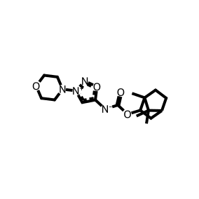 CC1(C)C2CCC1(C)C(OC(=O)[N-]c1c[n+](N3CCOCC3)no1)C2